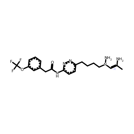 C/C(N)=C/N(N)CCCCc1ccc(NC(=O)Cc2cccc(OC(F)(F)F)c2)nn1